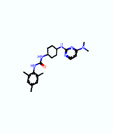 Cc1cc(C)c(NC(=O)NC2CCC(Nc3nccc(N(C)C)n3)CC2)c(C)c1